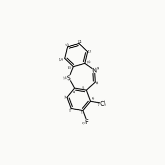 Fc1ccc2c(c1Cl)C=Nc1ccccc1S2